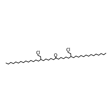 CCCCCCCCCCCCCCC(CCCl)CCCCCC(=O)CCCCCC(CCCl)CCCCCCCCCCCCCC